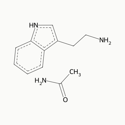 CC(N)=O.NCCc1c[nH]c2ccccc12